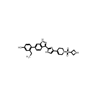 CCc1cc(O)ccc1-c1ccc2c(-c3nc(C4=CCN(S(=O)(=O)C5CNC5)CC4)c[nH]3)n[nH]c2c1